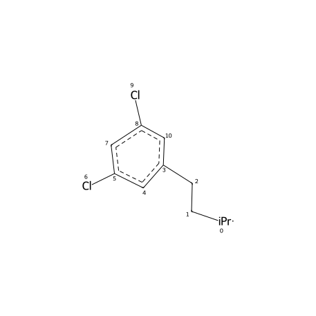 C[C](C)CCc1cc(Cl)cc(Cl)c1